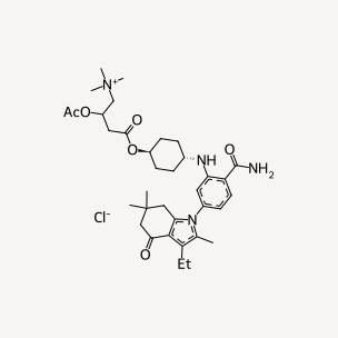 CCc1c2c(n(-c3ccc(C(N)=O)c(N[C@H]4CC[C@H](OC(=O)CC(C[N+](C)(C)C)OC(C)=O)CC4)c3)c1C)CC(C)(C)CC2=O.[Cl-]